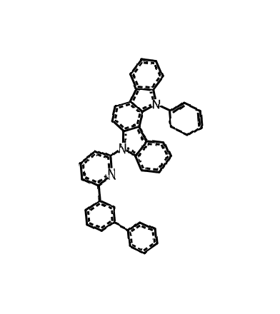 C1=CCCC(n2c3ccccc3c3ccc4c(c5ccccc5n4-c4cccc(-c5cccc(-c6ccccc6)c5)n4)c32)=C1